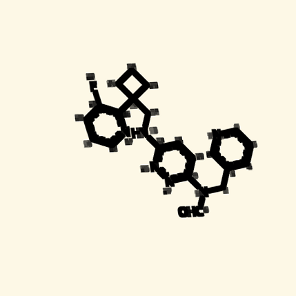 O=CN(Cc1cccnc1)c1ccc(NCC2(c3ncccc3F)CCC2)nn1